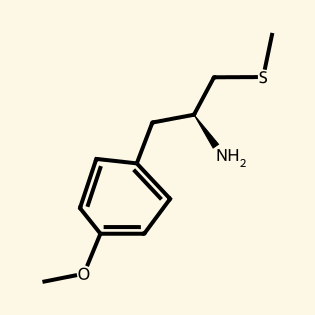 COc1ccc(C[C@H](N)CSC)cc1